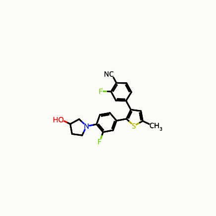 Cc1cc(-c2ccc(C#N)c(F)c2)c(-c2ccc(N3CCC(O)C3)c(F)c2)s1